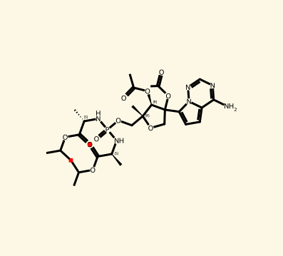 CC(=O)O[C@H]1C(OC(C)=O)(c2ccc3c(N)ncnn23)CO[C@]1(C)COP(=O)(N[C@@H](C)C(=O)OC(C)C)N[C@@H](C)C(=O)OC(C)C